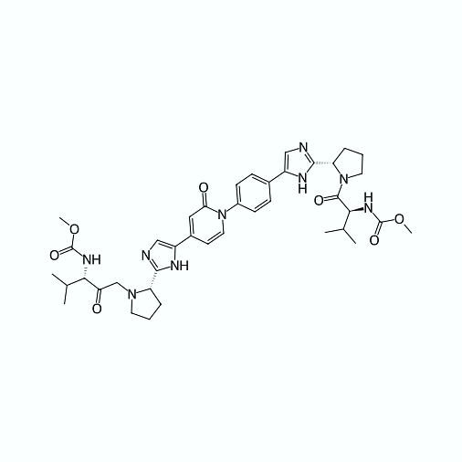 COC(=O)N[C@H](C(=O)CN1CCC[C@H]1c1ncc(-c2ccn(-c3ccc(-c4cnc([C@@H]5CCCN5C(=O)[C@@H](NC(=O)OC)C(C)C)[nH]4)cc3)c(=O)c2)[nH]1)C(C)C